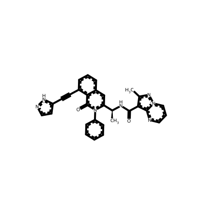 Cc1nn2cccnc2c1C(=O)N[C@@H](C)c1cc2cccc(C#Cc3ccn[nH]3)c2c(=O)n1-c1ccccc1